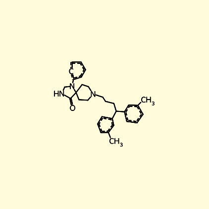 Cc1cccc(C(CCCN2CCC3(CC2)C(=O)NCN3c2ccccc2)c2cccc(C)c2)c1